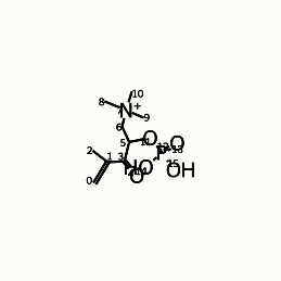 C=C(C)C(=O)C(C[N+](C)(C)C)OP(=O)(O)O